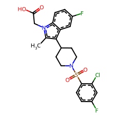 Cc1c(C2CCN(S(=O)(=O)c3ccc(F)cc3Cl)CC2)c2cc(F)ccc2n1CC(=O)O